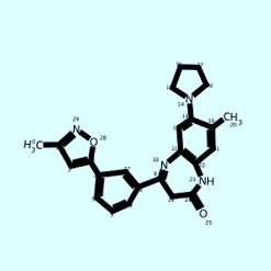 Cc1cc(-c2cccc(C3=Nc4cc(N5CCCC5)c(C)cc4NC(=O)C3)c2)on1